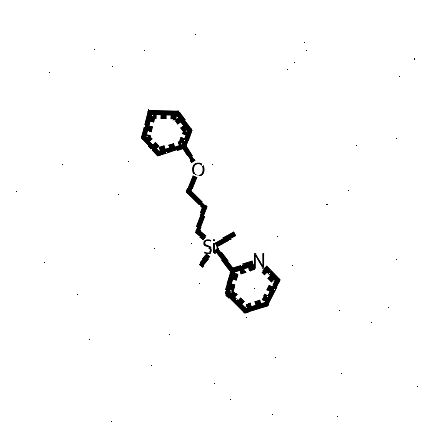 C[Si](C)(CCCOc1ccccc1)c1ccccn1